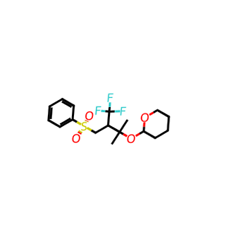 CC(C)(OC1CCCCO1)C(CS(=O)(=O)c1ccccc1)C(F)(F)F